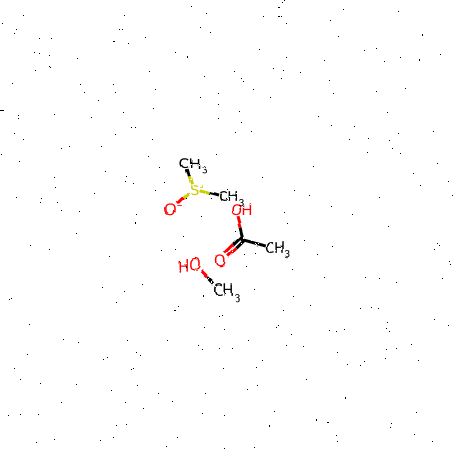 CC(=O)O.CO.C[S+](C)[O-]